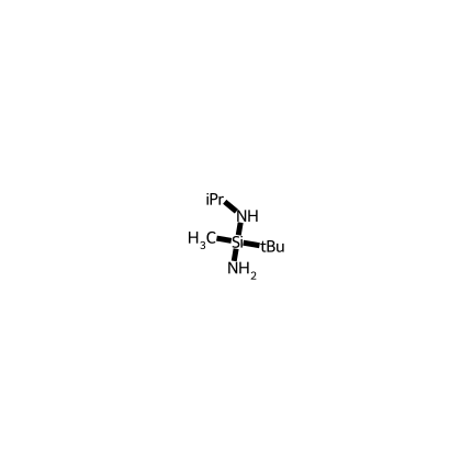 CC(C)N[Si](C)(N)C(C)(C)C